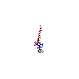 O=[N+]([O-])c1cc2c(Nc3cccc(Br)c3)ncnc2cc1OCCOCCOCCOCCF